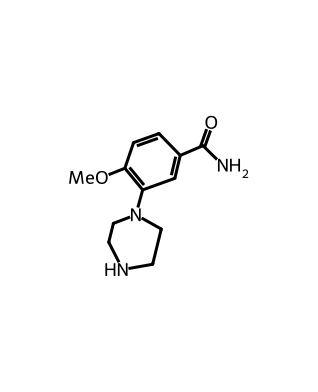 COc1ccc(C(N)=O)cc1N1CCNCC1